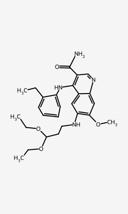 CCOC(CCNc1cc2c(Nc3ccccc3CC)c(C(N)=O)cnc2cc1OC)OCC